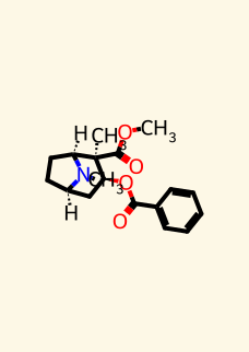 COC(=O)[C@@]1(C)[C@@H](OC(=O)c2ccccc2)C[C@H]2CC[C@@H]1N2C